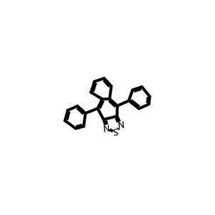 c1ccc(-c2c3ccccc3c(-c3ccccc3)c3nsnc23)cc1